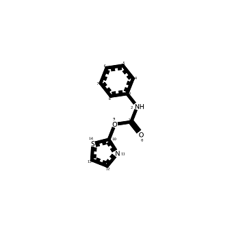 O=C(Nc1ccccc1)Oc1nccs1